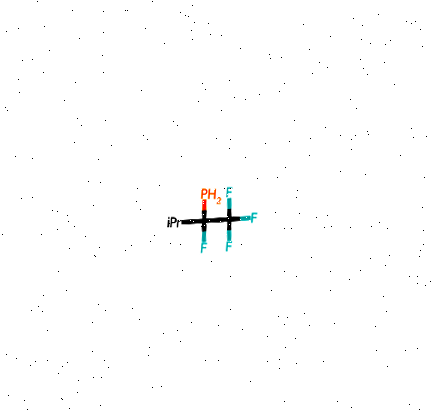 CC(C)C(F)(P)C(F)(F)F